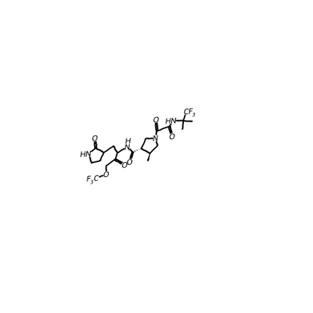 C[C@@H]1CN(C(=O)C(=O)NC(C)(C)C(F)(F)F)C[C@H]1C(=O)NC(CC1CCNC1=O)C(=O)COC(F)(F)F